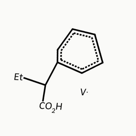 CCC(C(=O)O)c1ccccc1.[V]